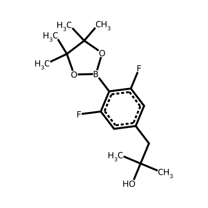 CC(C)(O)Cc1cc(F)c(B2OC(C)(C)C(C)(C)O2)c(F)c1